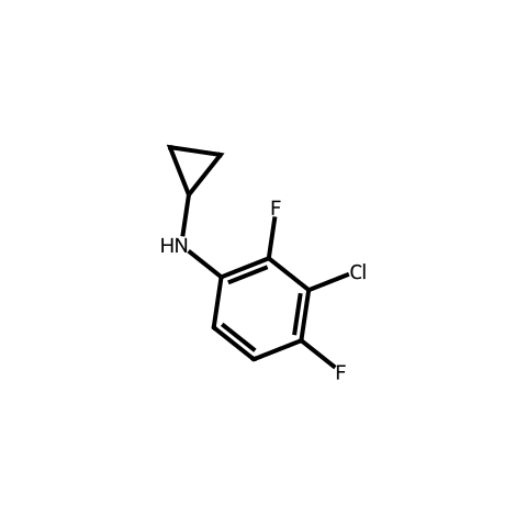 Fc1ccc(NC2CC2)c(F)c1Cl